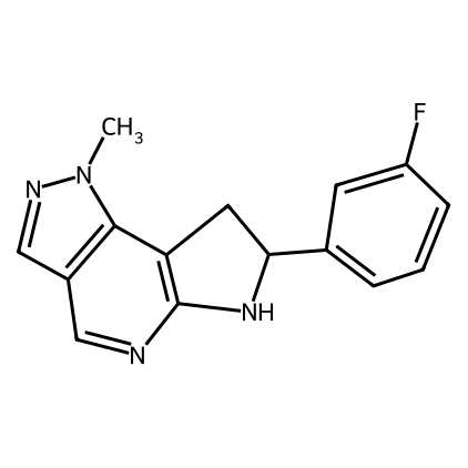 Cn1ncc2cnc3c(c21)CC(c1cccc(F)c1)N3